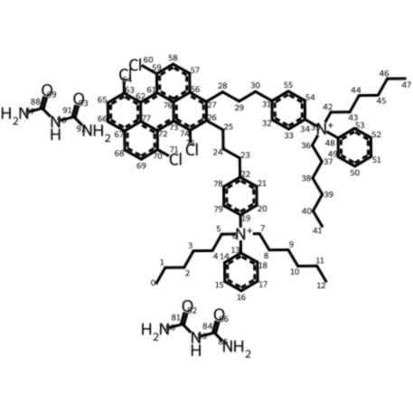 CCCCCC[N+](CCCCCC)(c1ccccc1)c1ccc(CCCc2c(CCCc3ccc([N+](CCCCCC)(CCCCCC)c4ccccc4)cc3)c3ccc(Cl)c4c5c(Cl)ccc6ccc(Cl)c(c(c2Cl)c34)c65)cc1.NC(=O)NC(N)=O.NC(=O)NC(N)=O